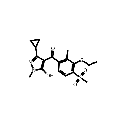 CCSc1c(S(C)(=O)=O)ccc(C(=O)c2c(C3CC3)nn(C)c2O)c1C